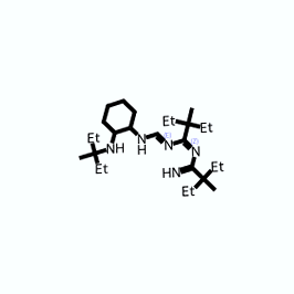 CCC(C)(CC)NC1CCCCC1N/C=N/C(=N\C(=N)C(C)(CC)CC)C(C)(CC)CC